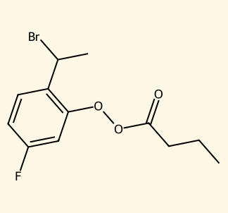 CCCC(=O)OOc1cc(F)ccc1C(C)Br